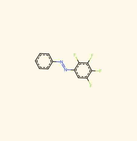 Fc1cc(N=Nc2ccccc2)c(F)c(F)c1F